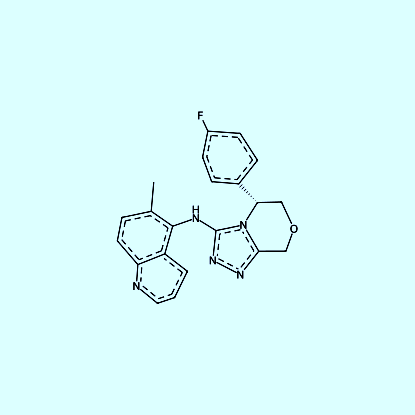 Cc1ccc2ncccc2c1Nc1nnc2n1[C@H](c1ccc(F)cc1)COC2